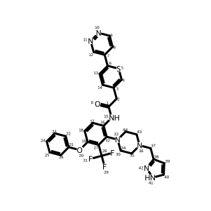 O=C(CC1=CSC(c2ccnnc2)=C=C1)Nc1ccc(Oc2ccccc2)c(C(F)(F)F)c1N1CCN(Cc2cc[nH]n2)CC1